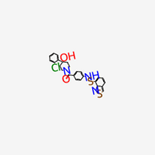 O=C(c1ccc(NSc2cccc3csnc23)cc1)N1CCC(O)(c2ccccc2Cl)CC1